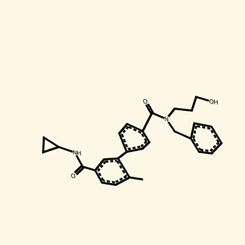 Cc1ccc(C(=O)NC2CC2)cc1-c1ccc(C(=O)N(CCCO)Cc2ccccc2)cc1